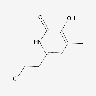 Cc1cc(CCCl)[nH]c(=O)c1O